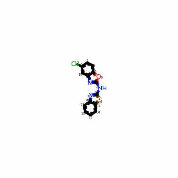 Clc1ccc2oc(Nc3nc4ccccc4s3)nc2c1